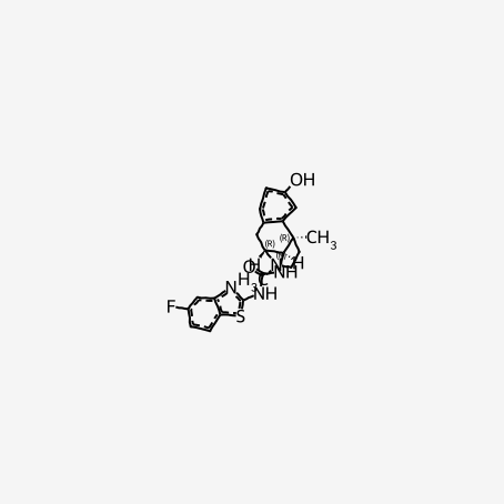 CN1CC[C@]2(C)c3cc(O)ccc3C[C@@H]1[C@@H]2NC(=O)Nc1nc2cc(F)ccc2s1